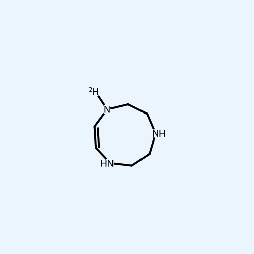 [2H]N1C=CNCCNCC1